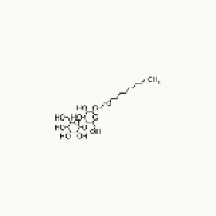 CCCCCCCCCCOCCO[C@H]1OC(CO)[C@H](O[C@@H]2OC(CO)[C@H](O)C(O)[C@H]2O)C(O)[C@H]1O